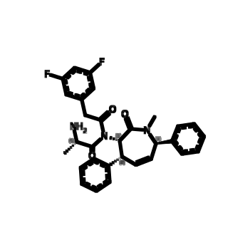 C[C@H](N)C(=O)N(C(=O)Cc1cc(F)cc(F)c1)[C@@H]1C(=O)N(C)[C@@H](c2ccccc2)C=C[C@@H]1c1ccccc1